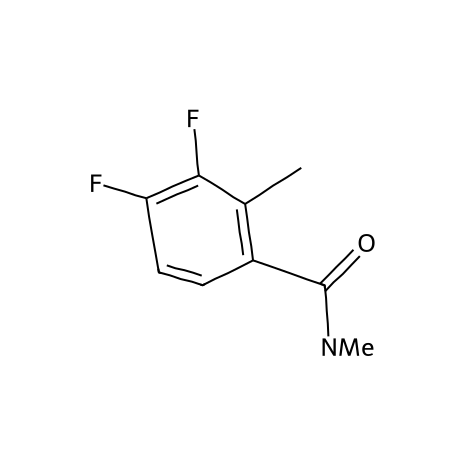 CNC(=O)c1ccc(F)c(F)c1C